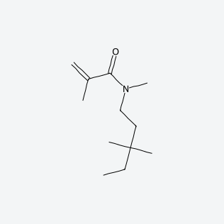 C=C(C)C(=O)N(C)CCC(C)(C)CC